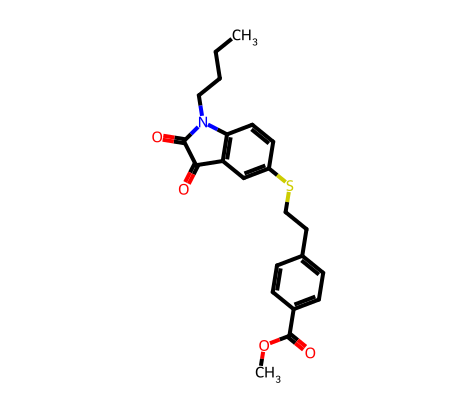 CCCCN1C(=O)C(=O)c2cc(SCCc3ccc(C(=O)OC)cc3)ccc21